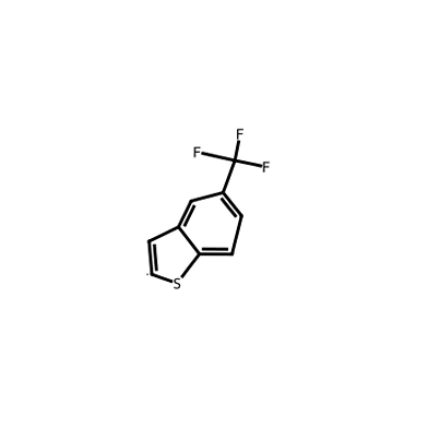 FC(F)(F)c1ccc2s[c]cc2c1